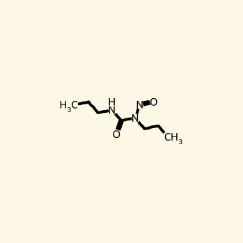 CCCNC(=O)N(CCC)N=O